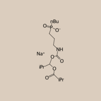 CCCCP(=O)([O-])CCCNC(=O)OC(OC(=O)C(C)C)C(C)C.[Na+]